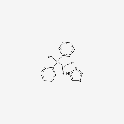 O=C(O)C(O)(c1ccccc1)c1ccccc1.c1nnn[nH]1